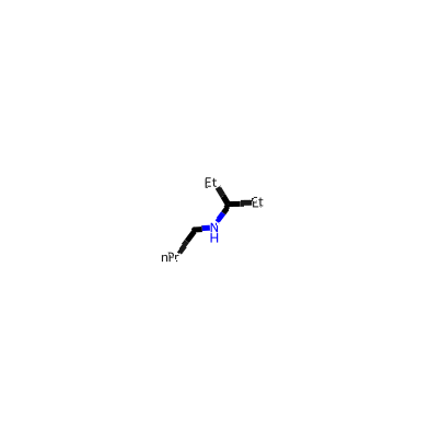 CCCCN[C](CC)CC